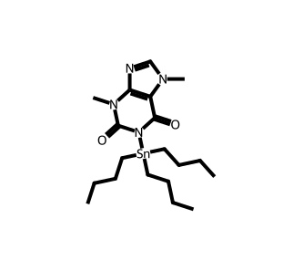 CCC[CH2][Sn]([CH2]CCC)([CH2]CCC)[n]1c(=O)c2c(ncn2C)n(C)c1=O